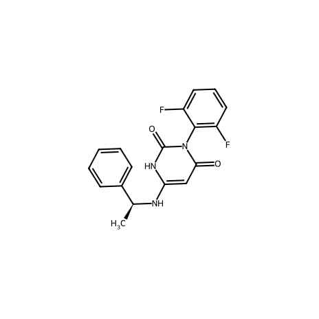 C[C@H](Nc1cc(=O)n(-c2c(F)cccc2F)c(=O)[nH]1)c1ccccc1